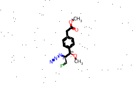 COC(=O)Cc1ccc([C@@H](OC)[C@@H](CF)N=[N+]=[N-])cc1